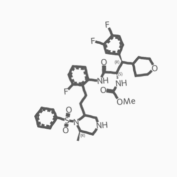 COC(=O)N[C@H](C(=O)Nc1cccc(F)c1CCC1CNC[C@@H](C)N1S(=O)(=O)c1ccccc1)[C@@H](c1ccc(F)c(F)c1)C1CCOCC1